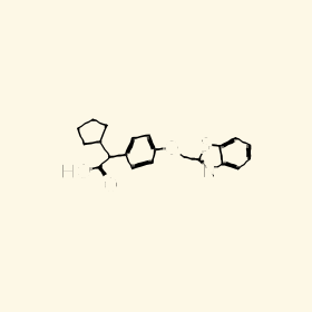 O=C(O)C(c1ccc(OCc2nc3ccccc3s2)cc1)C1CCCC1